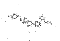 CCc1ncoc1C(=O)N[C@@H](C)c1ccc(NC(=O)OCc2ccc(Cl)cc2)cc1